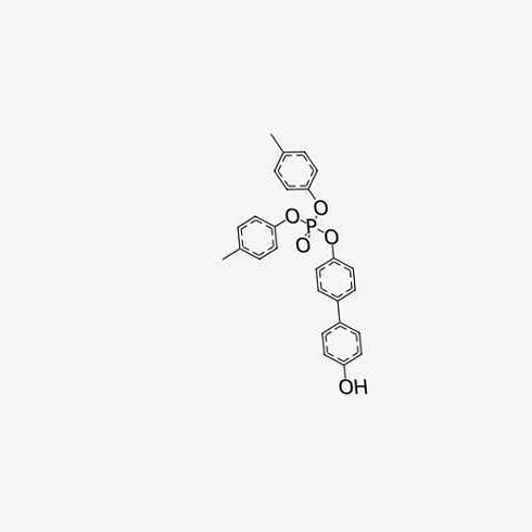 Cc1ccc(OP(=O)(Oc2ccc(C)cc2)Oc2ccc(-c3ccc(O)cc3)cc2)cc1